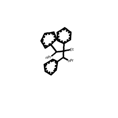 CCCC(c1ccccc1)C(CC)(c1ccccc1)C(CCC)c1ccccc1